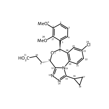 COc1cccc([C@@H]2O[C@@H](CCC(=O)O)c3nnc(C4CC4)n3-c3ccc(Cl)cc32)c1OC